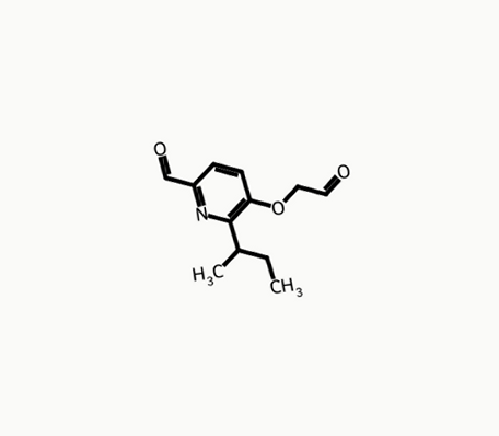 CCC(C)c1nc(C=O)ccc1OCC=O